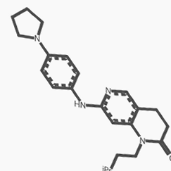 CC(C)CCN1C(=O)CCc2cnc(Nc3ccc(N4CCCC4)cc3)cc21